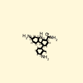 Cc1c(N)cccc1-c1ccc(C(N)=O)c2[nH]c3cc(N)ccc3c12